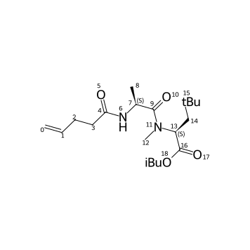 C=CCCC(=O)N[C@@H](C)C(=O)N(C)[C@@H](CC(C)(C)C)C(=O)OCC(C)C